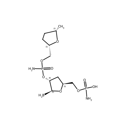 B[C@@H]1O[C@H](COP(N)(=O)O)C[C@H]1OP(N)(=O)OC[C@@H]1CC[C@H](C)O1